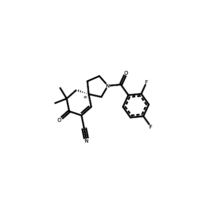 CC1(C)C[C@]2(C=C(C#N)C1=O)CCN(C(=O)c1ccc(F)cc1F)C2